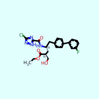 CCOC(=O)[C@H](CO)C[C@@H](Cc1ccc(-c2cccc(F)c2)cc1)NC(=O)c1nc(Cl)n[nH]1